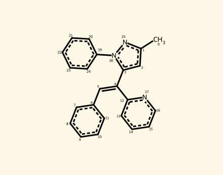 Cc1cc(/C(=C/c2ccccc2)c2ccccn2)n(-c2ccccc2)n1